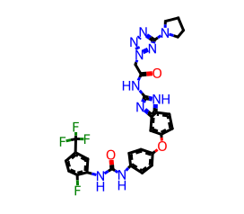 O=C(Cn1nnc(N2CCCC2)n1)Nc1nc2cc(Oc3ccc(NC(=O)Nc4cc(C(F)(F)F)ccc4F)cc3)ccc2[nH]1